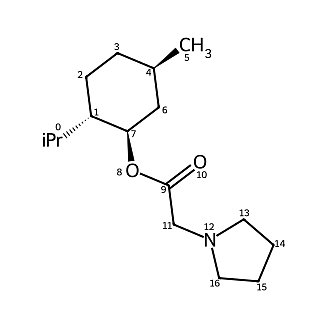 CC(C)[C@@H]1CC[C@@H](C)C[C@H]1OC(=O)CN1CCCC1